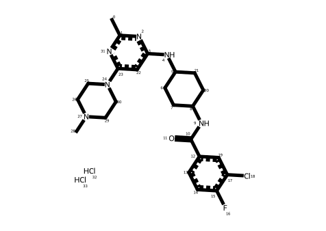 Cc1nc(NC2CCC(NC(=O)c3ccc(F)c(Cl)c3)CC2)cc(N2CCN(C)CC2)n1.Cl.Cl